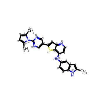 Cc1cc2cc(Nc3ccnc4cc(-c5cnc(-n6c(C)ccc6C)nc5)sc34)ccc2[nH]1